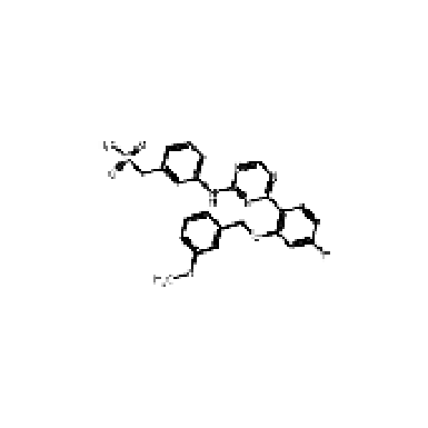 COc1cccc(COc2cc(F)ccc2-c2ncnc(Nc3cccc(CS(C)(=O)=O)c3)n2)c1